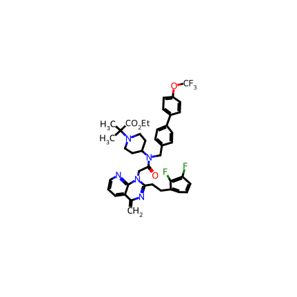 C=C1N=C(CCc2cccc(F)c2F)N(CC(=O)N(Cc2ccc(-c3ccc(OC(F)(F)F)cc3)cc2)C2CCN(C(C)(C)C(=O)OCC)CC2)c2ncccc21